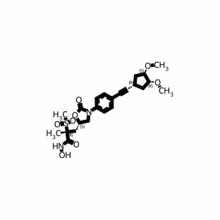 CO[C@H]1C[C@@H](C#Cc2ccc(N3C[C@H](C[C@](C)(C(=O)NO)S(C)(=O)=O)OC3=O)cc2)C[C@H]1OC